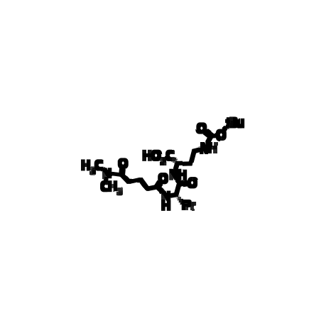 CC(C)[C@H](NC(=O)CCCC(=O)N(C)C)C(=O)N[C@@H](CCNC(=O)OC(C)(C)C)C(=O)O